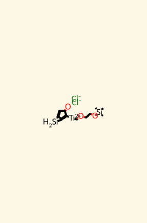 C[Si](C)(C)OCCO[CH2][Ti+2][C]1=C2[SiH2]C2=CC1=O.[Cl-].[Cl-]